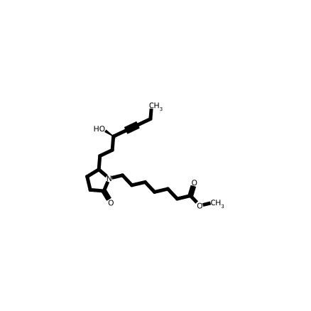 CCC#C[C@H](O)CCC1CCC(=O)N1CCCCCCC(=O)OC